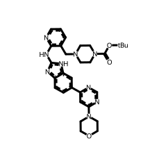 CC(C)(C)OC(=O)N1CCN(Cc2cccnc2Nc2nc3ccc(-c4cc(N5CCOCC5)ncn4)cc3[nH]2)CC1